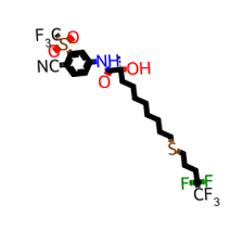 C[C@](O)(CCCCCCCCSCCCC(F)(F)C(F)(F)F)C(=O)Nc1ccc(C#N)c(S(=O)(=O)C(F)(F)F)c1